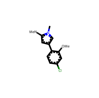 CNc1cc(-c2ccc(Cl)cc2OC)cn1C